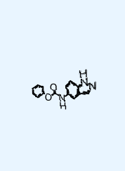 O=C(Nc1ccc2[nH]ncc2c1)Oc1ccccc1